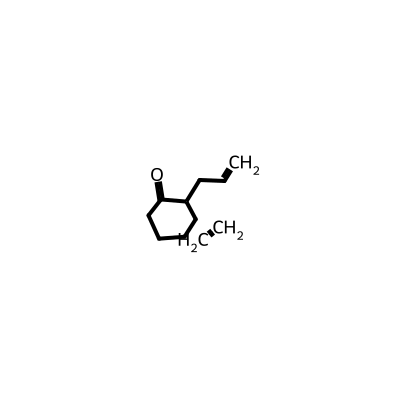 C=C.C=CCC1CCCCC1=O